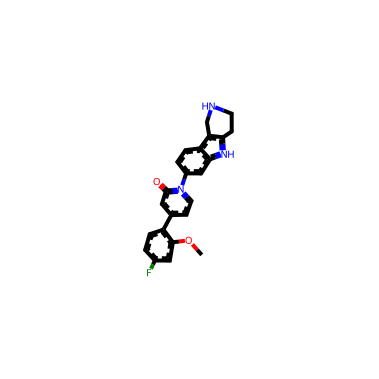 COc1cc(F)ccc1-c1ccn(-c2ccc3c4c([nH]c3c2)CCNC4)c(=O)c1